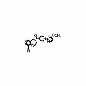 COc1ccnc(N2CCC(C(=O)N3CCOc4c(C#N)cncc4C3)CC2)n1